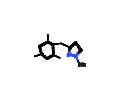 CCCCn1ccc(Cc2c(C)cc(C)cc2C)n1